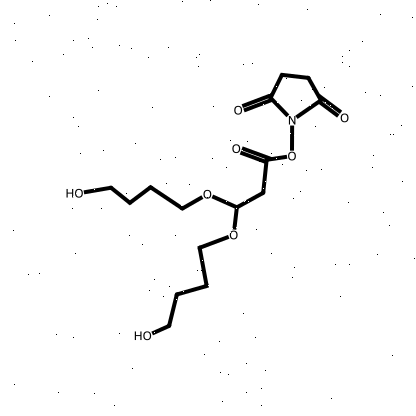 O=C(CC(OCCCCO)OCCCCO)ON1C(=O)CCC1=O